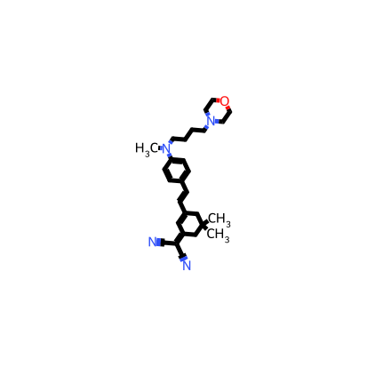 CN(CCCCN1CCOCC1)c1ccc(/C=C/C2=CC(=C(C#N)C#N)CC(C)(C)C2)cc1